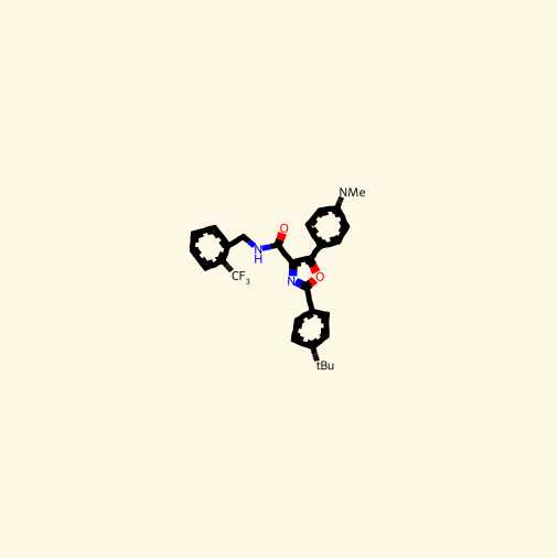 CNc1ccc(-c2oc(-c3ccc(C(C)(C)C)cc3)nc2C(=O)NCc2ccccc2C(F)(F)F)cc1